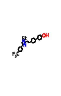 CCn1cc(-c2ccc(C(F)(F)F)cc2)nc1/C=C/c1ccc(-c2ccc(O)cc2)cc1